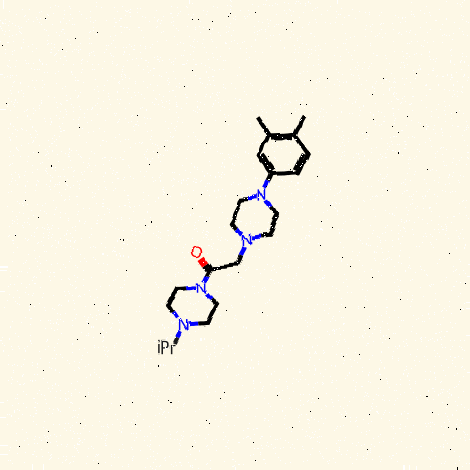 Cc1ccc(N2CCN(CC(=O)N3CCN(C(C)C)CC3)CC2)cc1C